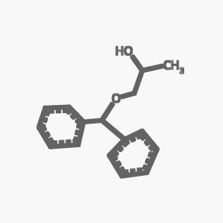 CC(O)COC(c1ccccc1)c1ccccc1